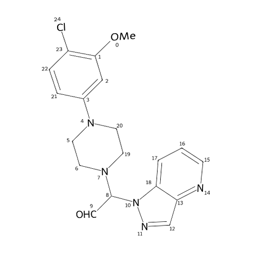 COc1cc(N2CCN(C(C=O)n3ncc4ncccc43)CC2)ccc1Cl